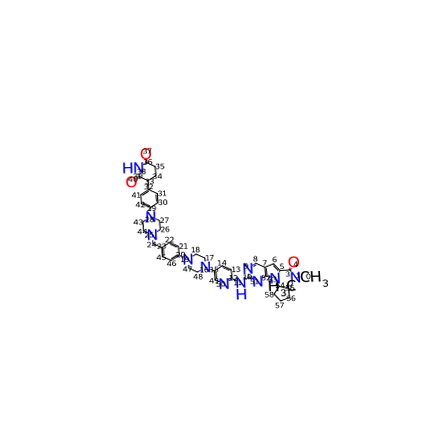 CN(C)C(=O)c1cc2cnc(Nc3ccc(N4CCN(c5ccc(CN6CCN(c7ccc(C8CCC(=O)NC8=O)cc7)CC6)cc5)CC4)cn3)nc2n1C1CCCC1